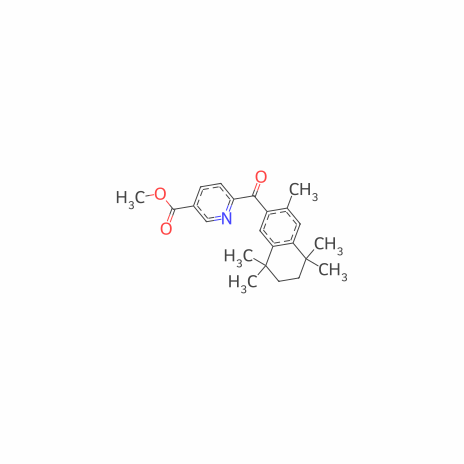 COC(=O)c1ccc(C(=O)c2cc3c(cc2C)C(C)(C)CCC3(C)C)nc1